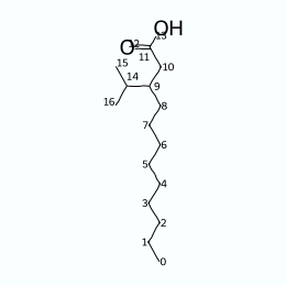 CCCCCCCCCC(CC(=O)O)C(C)C